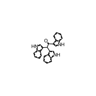 O=C(c1c[nH]c2ccccc12)C(c1c[nH]c2ccccc12)c1c[nH]c2ccccc12